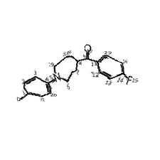 Cc1ccc(N2CCC(C(=O)c3ccc(F)cc3)CC2)cc1